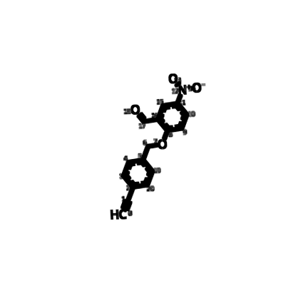 C#Cc1ccc(COc2ccc([N+](=O)[O-])cc2C=O)cc1